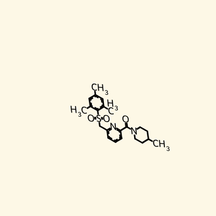 Cc1cc(C)c(S(=O)(=O)Cc2cccc(C(=O)N3CCC(C)CC3)n2)c(C)c1